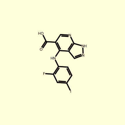 O=C(O)c1cnc2[nH]ncc2c1Nc1ccc(I)cc1F